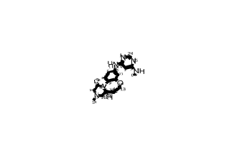 CNc1cc(Nc2ccc3c(c2)OCC[C@H]2CN(C)CC(=O)N32)ncn1